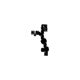 N#CCNCCN(CCN)CCN1CCN(CCN2CCNC2=O)CC1